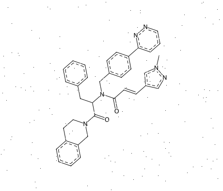 Cn1cc(C=CC(=O)N(Cc2ccc(-c3cccnn3)cc2)C(Cc2ccccc2)C(=O)N2CCc3ccccc3C2)cn1